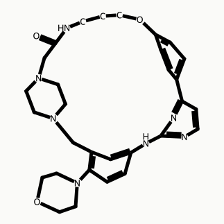 O=C1CN2CCN(CC2)Cc2cc(ccc2N2CCOCC2)Nc2nccc(n2)-c2ccc(cc2)OCCCN1